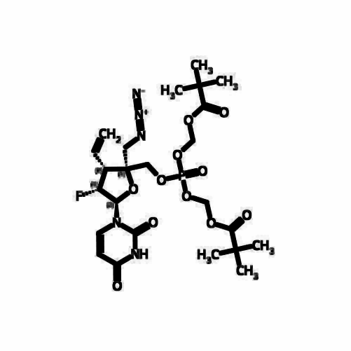 C=C[C@H]1[C@@H](F)[C@H](n2ccc(=O)[nH]c2=O)O[C@]1(CN=[N+]=[N-])COP(=O)(OCOC(=O)C(C)(C)C)OCOC(=O)C(C)(C)C